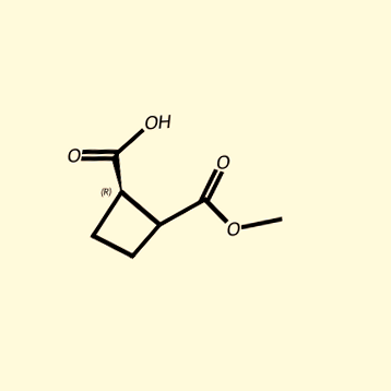 COC(=O)C1CC[C@H]1C(=O)O